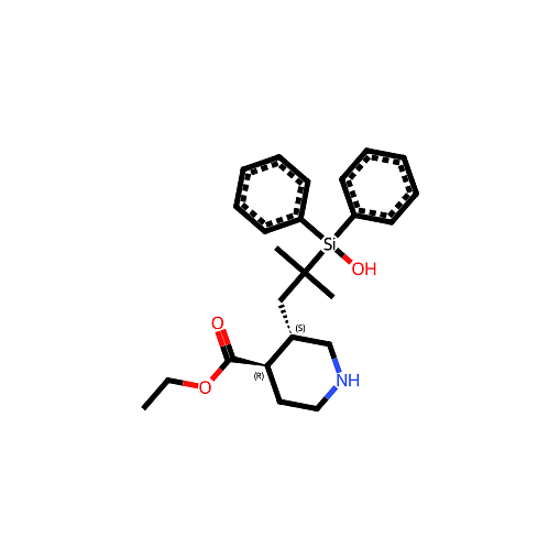 CCOC(=O)[C@@H]1CCNC[C@H]1CC(C)(C)[Si](O)(c1ccccc1)c1ccccc1